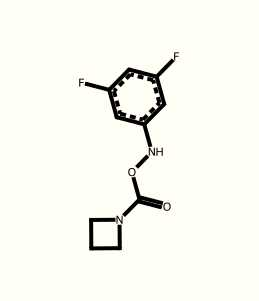 O=C(ONc1cc(F)cc(F)c1)N1CCC1